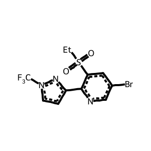 CCS(=O)(=O)c1cc(Br)cnc1-c1ccn(C(F)(F)F)n1